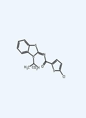 CC(C(=O)O)n1/c(=N\C(=O)c2ccc(Cl)s2)sc2ccccc21